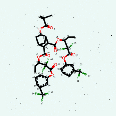 C=C(C)C(=O)OC1CC2CC1C(C(=O)OC(CC)C(F)(F)C(=O)Oc1cccc(C(F)(F)F)c1)C2C(=O)OC(CC)C(F)(F)C(=O)Oc1cccc(C(F)(F)F)c1